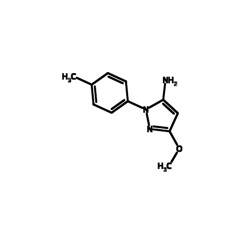 COc1cc(N)n(-c2ccc(C)cc2)n1